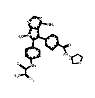 C=C(C)C(=O)Nc1ccc(-c2c(-c3ccc(C(=O)N[C@@H]4CCOC4)cc3)c3c(N)ncnc3n2C)cc1